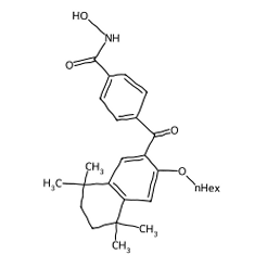 CCCCCCOc1cc2c(cc1C(=O)c1ccc(C(=O)NO)cc1)C(C)(C)CCC2(C)C